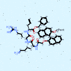 C=CC[C@H](NC(=O)[C@@H](CCCNC(=N)N)NC(=O)[C@@H](CCCCN)NC(=O)COc1ccc2ccccc2c1-c1c(OCCCCC)ccc2ccccc12)C(=O)OCc1ccccc1